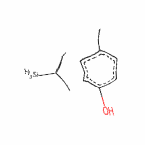 CC(C)[SiH3].Cc1ccc(O)cc1